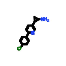 NC1CC1c1ccc(-c2ccc(Cl)cc2)nc1